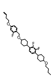 C=CCCOc1ccc(COC2CCC(c3ccc(C4CCC(OCCCC)CC4)c(F)c3F)CC2)c(F)c1